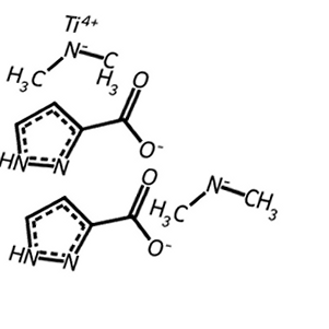 C[N-]C.C[N-]C.O=C([O-])c1cc[nH]n1.O=C([O-])c1cc[nH]n1.[Ti+4]